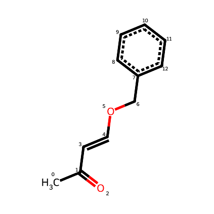 CC(=O)/C=C/OCc1ccccc1